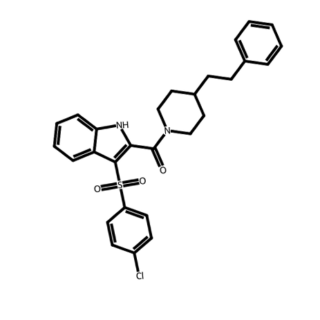 O=C(c1[nH]c2ccccc2c1S(=O)(=O)c1ccc(Cl)cc1)N1CCC(CCc2ccccc2)CC1